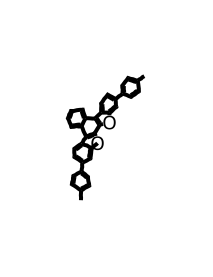 Cc1ccc(-c2ccc3c(c2)oc2c4oc5cc(-c6ccc(C)cc6)ccc5c4c4ccccc4c32)cc1